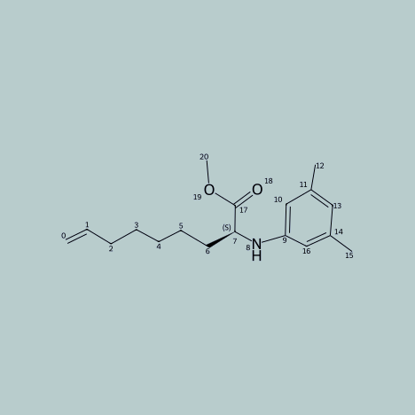 C=CCCCCC[C@H](Nc1cc(C)cc(C)c1)C(=O)OC